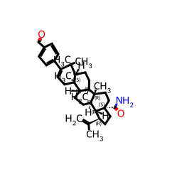 C=C(C)[C@@H]1CC[C@]2(C(N)=O)CC[C@]3(C)[C@H](CC[C@@H]4[C@@]5(C)CC=C(c6ccc(C=O)cc6)C(C)(C)[C@@H]5CC[C@]43C)[C@@H]12